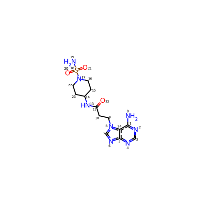 Nc1ncnc2ncn(CCC(=O)NC3CCN(S(N)(=O)=O)CC3)c12